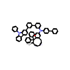 C=C1/C=C\C=C/Cc2cc(N(c3ccc(-c4ccccc4)cc3)c3cccc(-c4cccc(-c5ccc6c7ccccc7n(-c7ccccc7)c6c5)c4)c3)ccc2C1(c1ccccc1)c1ccccc1